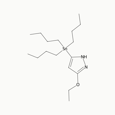 CCC[CH2][Sn]([CH2]CCC)([CH2]CCC)[c]1cc(OCC)n[nH]1